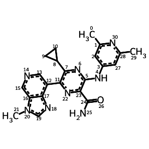 Cc1cc(Nc2nc(C3CC3)c(-c3cncc4c3ncn4C)nc2C(N)=O)cc(C)n1